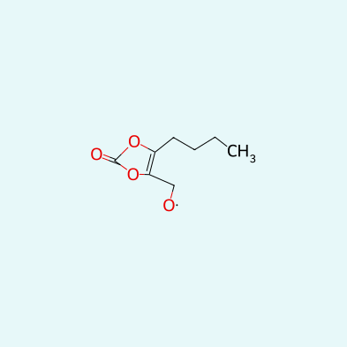 CCCCc1oc(=O)oc1C[O]